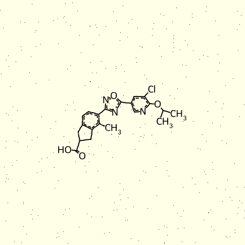 Cc1c(-c2noc(-c3cnc(OC(C)C)c(Cl)c3)n2)ccc2c1CC(C(=O)O)C2